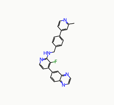 Cc1cc(-c2ccc(CNc3nccc(-c4ccc5nccnc5c4)c3F)cc2)ccn1